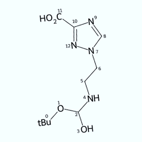 CC(C)(C)OC(O)NCCn1cnc(C(=O)O)n1